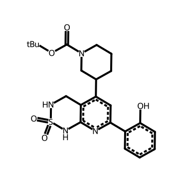 CC(C)(C)OC(=O)N1CCCC(c2cc(-c3ccccc3O)nc3c2CNS(=O)(=O)N3)C1